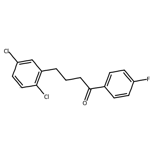 O=C(CCCc1cc(Cl)c[c]c1Cl)c1ccc(F)cc1